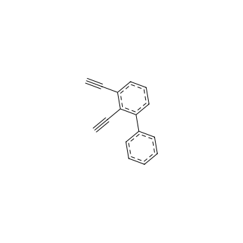 C#Cc1cccc(-c2ccccc2)c1C#C